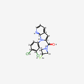 O=C(c1cc2cccnc2n1-c1ccc(Cl)c(Cl)c1)N1CC(F)C1